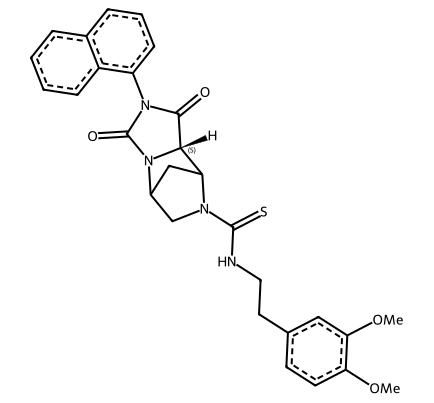 COc1ccc(CCNC(=S)N2CC3CC2[C@H]2C(=O)N(c4cccc5ccccc45)C(=O)N32)cc1OC